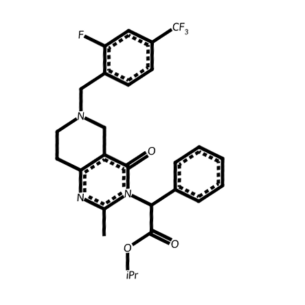 Cc1nc2c(c(=O)n1C(C(=O)OC(C)C)c1ccccc1)CN(Cc1ccc(C(F)(F)F)cc1F)CC2